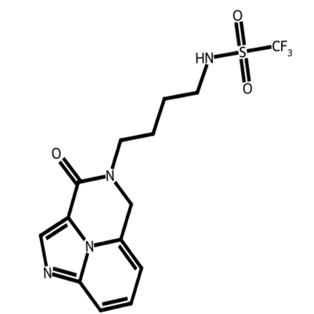 O=C1c2cnc3cccc(n23)CN1CCCCNS(=O)(=O)C(F)(F)F